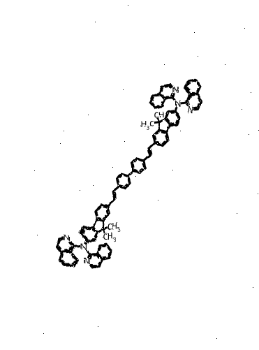 CC1(C)c2cc(/C=C/c3ccc(-c4ccc(/C=C/c5ccc6c(c5)C(C)(C)c5cc(N(c7nccc8ccccc78)c7nccc8ccccc78)ccc5-6)cc4)cc3)ccc2-c2ccc(N(c3nccc4ccccc34)c3nccc4ccccc34)cc21